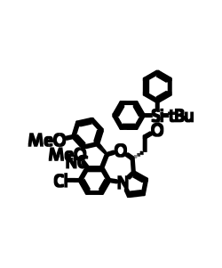 COc1cccc([C@H]2O[C@H](CCO[Si](c3ccccc3)(c3ccccc3)C(C)(C)C)c3cccn3-c3ccc(Cl)c(C#N)c32)c1OC